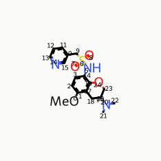 COc1ccc(NS(=O)(=O)Cc2cccnc2)c2c1C[C@@H](N(C)C)CO2